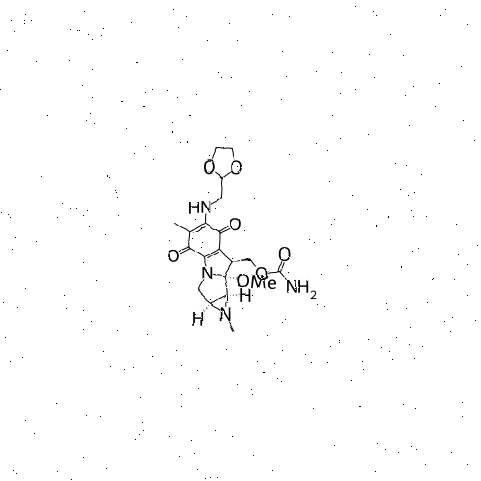 CO[C@@]12[C@H](COC(N)=O)C3=C(C(=O)C(C)=C(NCC4OCCO4)C3=O)N1C[C@H]1[C@@H]2N1C